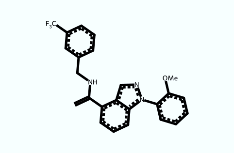 C=C(NCc1cccc(C(F)(F)F)c1)c1cccc2c1cnn2-c1ccccc1OC